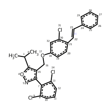 CC(C)c1onc(-c2c(Cl)cccc2Cl)c1COc1ccc(/C=C/c2ccccc2)c(Cl)c1